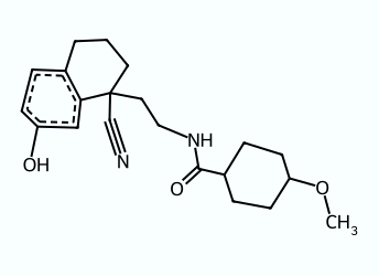 COC1CCC(C(=O)NCCC2(C#N)CCCc3ccc(O)cc32)CC1